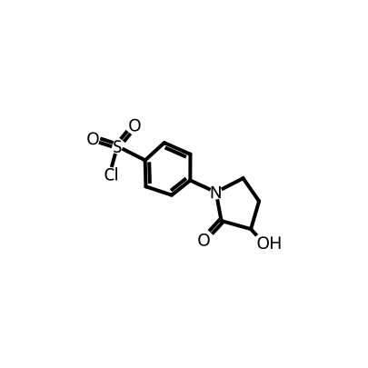 O=C1C(O)CCN1c1ccc(S(=O)(=O)Cl)cc1